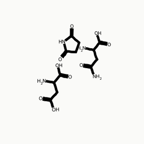 NC(=O)CC(N)C(=O)O.NC(CC(=O)O)C(=O)O.O=C1CCC(=O)N1